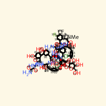 CN[C@H](CC(C)C)C(=O)N[C@H]1C(=O)N[C@@H](CC(N)=O)C(=O)N[C@H]2C(=O)N[C@H]3C(=O)N[C@H](C(=O)N[C@@H](C(=O)NNC(=O)C(N)=O)c4cc(O)cc(O)c4-c4cc3ccc4O)[C@H](O)c3ccc(c(Cl)c3)Oc3cc2cc(c3O[C@@H]2O[C@H](CO)[C@@H](O)[C@H](O)[C@H]2O[C@H]2C[C@](C)(NCc3ccc(NC(=O)c4ccc(C(F)(F)F)c(F)c4)cc3)[C@H](O)[C@H](C)O2)Oc2ccc(cc2Cl)[C@H]1O